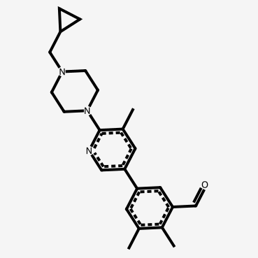 Cc1cc(-c2cc(C)c(C)c(C=O)c2)cnc1N1CCN(CC2CC2)CC1